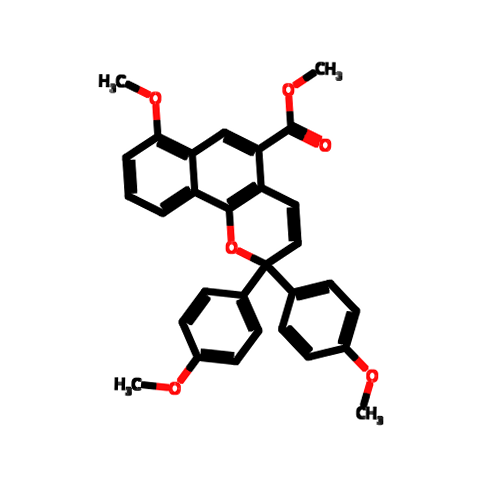 COC(=O)c1cc2c(OC)cccc2c2c1C=CC(c1ccc(OC)cc1)(c1ccc(OC)cc1)O2